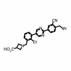 CCc1c(CN2CC(C(=O)O)C2)cccc1-c1cnc(-c2ccc(CC(C)C)c(C#N)c2)nc1